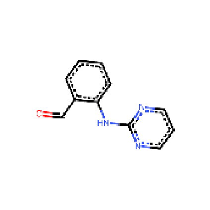 O=[C]c1ccccc1Nc1ncccn1